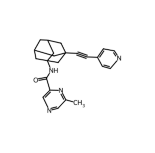 Cc1cncc(C(=O)NC23CC4CC(CC(C#Cc5ccncc5)(C4)C2)C3)n1